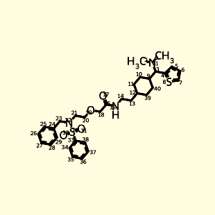 CN(C)C(c1cccs1)C1CCC(CCNC(=O)COCCN(Cc2ccccc2)S(=O)(=O)c2ccccc2)CC1